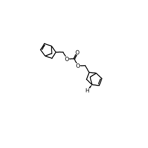 O=C(OCC1CC2C=CC1C2)OCC1C[C@H]2C=CC1C2